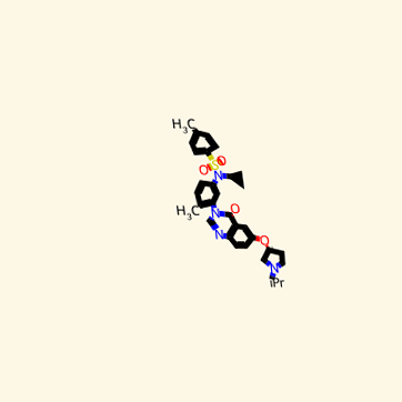 Cc1ccc(S(=O)(=O)N(c2ccc(C)c(-n3cnc4ccc(O[C@H]5CCN(C(C)C)C5)cc4c3=O)c2)C2CC2)cc1